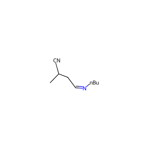 CCCC/N=C\CC(C)C#N